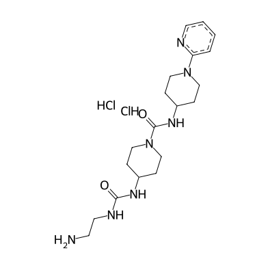 Cl.Cl.NCCNC(=O)NC1CCN(C(=O)NC2CCN(c3ccccn3)CC2)CC1